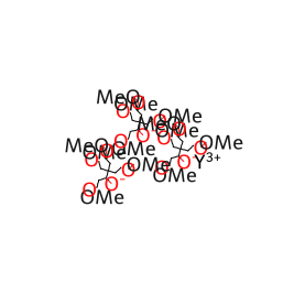 COOCCC([O-])C(CCOOC)(CCOOC)CCOOC.COOCCC([O-])C(CCOOC)(CCOOC)CCOOC.COOCCC([O-])C(CCOOC)(CCOOC)CCOOC.[Y+3]